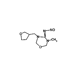 CN1COCN(CC2CCOC2)C1=NN=O